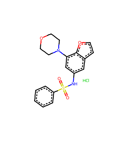 Cl.O=S(=O)(Nc1cc(N2CCOCC2)c2occc2c1)c1ccccc1